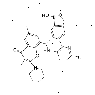 Cc1cc([C@H](C)Nc2ccc(Cl)nc2-c2ccc3c(c2)COB3O)c2oc(N3CCCCC3)c(C)c(=O)c2c1